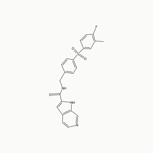 Cc1cc(S(=O)(=O)c2ccc(CNC(=O)c3cc4ccncc4[nH]3)cc2)ccc1F